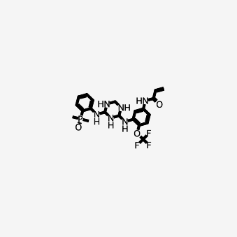 C=CC(=O)Nc1ccc(OC(F)(F)F)c(NC2NCNC(Nc3ccccc3P(C)(C)=O)N2)c1